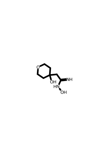 N=C(CC1(O)CCOCC1)NO